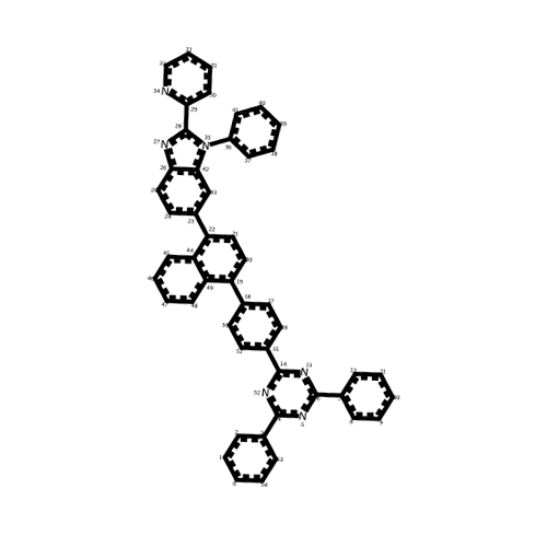 c1ccc(-c2nc(-c3ccccc3)nc(-c3ccc(-c4ccc(-c5ccc6nc(-c7ccccn7)n(-c7ccccc7)c6c5)c5ccccc45)cc3)n2)cc1